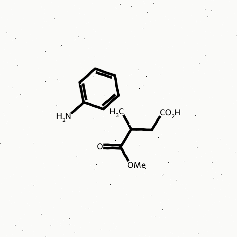 COC(=O)C(C)CC(=O)O.Nc1ccccc1